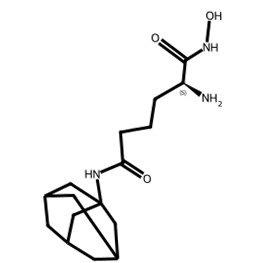 N[C@@H](CCCC(=O)NC12CC3CC(CC(C3)C1)C2)C(=O)NO